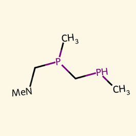 CNCP(C)CPC